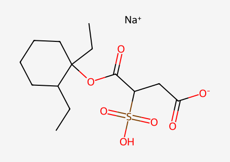 CCC1CCCCC1(CC)OC(=O)C(CC(=O)[O-])S(=O)(=O)O.[Na+]